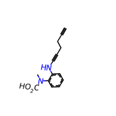 C#CCCC#CNc1ccccc1N(C)C(=O)O